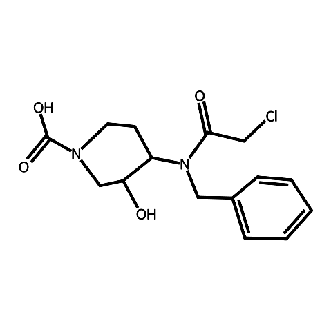 O=C(O)N1CCC(N(Cc2ccccc2)C(=O)CCl)C(O)C1